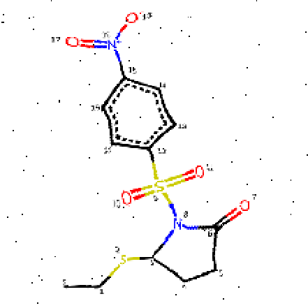 CCSC1CCC(=O)N1S(=O)(=O)c1ccc([N+](=O)[O-])cc1